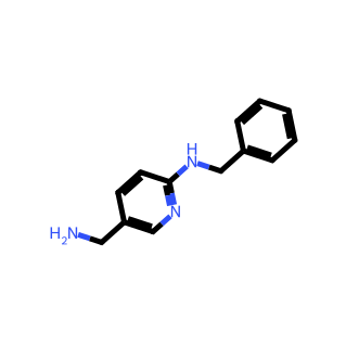 NCc1ccc(NCc2ccccc2)nc1